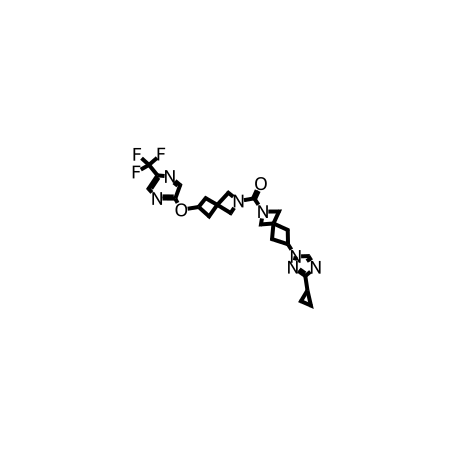 O=C(N1CC2(CC(Oc3cnc(C(F)(F)F)cn3)C2)C1)N1CC2(CC(n3cnc(C4CC4)n3)C2)C1